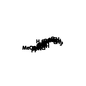 COc1ccc(-c2cnc3c(Nc4ccc(C(=O)N[C@@H]5CCN(C(=O)C[N+](C)(C)C)C5)c(C)c4)nccn23)c(F)c1F.[Cl-]